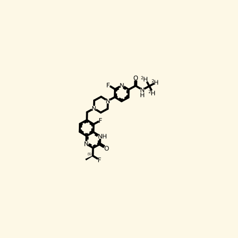 [2H]C([2H])([2H])NC(=O)c1ccc(N2CCN(Cc3ccc4nc([C@H](C)F)c(=O)[nH]c4c3F)CC2)c(F)n1